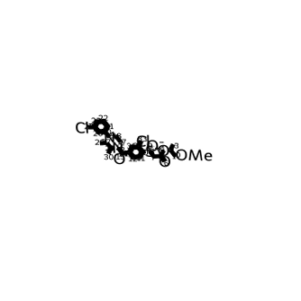 COCC(C)OC(=O)C[S+]([O-])c1ccc(C(=O)N2CCN(c3cccc(Cl)c3)C(C)C2C)cc1Cl